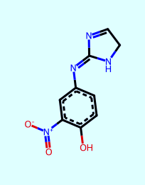 O=[N+]([O-])c1cc(N=C2N=CCN2)ccc1O